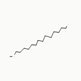 [2H]NCCCCCCCCCCCCCCCCCCCCCCCC